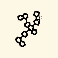 c1ccc2c(-c3ccc(-c4c5ccccc5c(-c5ccc6oc7ccccc7c6c5)c5cc(-c6cccc7ccccc67)ccc45)cc3)cccc2c1